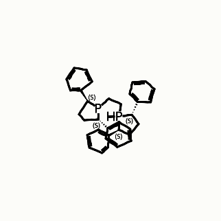 C[PH]1(CCP2[C@H](c3ccccc3)CC[C@H]2c2ccccc2)[C@H](c2ccccc2)CC[C@H]1c1ccccc1